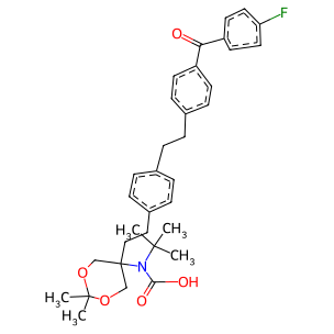 CC1(C)OCC(CCc2ccc(CCc3ccc(C(=O)c4ccc(F)cc4)cc3)cc2)(N(C(=O)O)C(C)(C)C)CO1